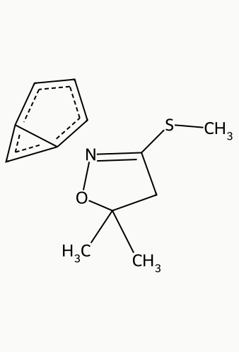 CSC1=NOC(C)(C)C1.c1cc2cc-2c1